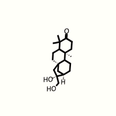 CC1(C)C(=O)CC[C@]2(C)C1CC[C@@]13C[C@@H](CCC12)[C@@](O)(CO)C3